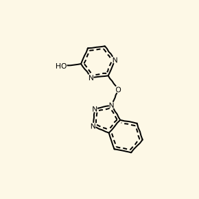 Oc1ccnc(On2nnc3ccccc32)n1